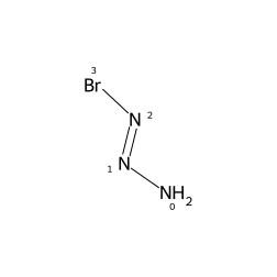 NN=NBr